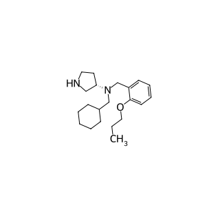 CCCOc1ccccc1CN(CC1CCCCC1)[C@H]1CCNC1